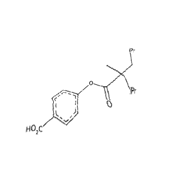 CC(C)CC(C)(C(=O)Oc1ccc(C(=O)O)cc1)C(C)C